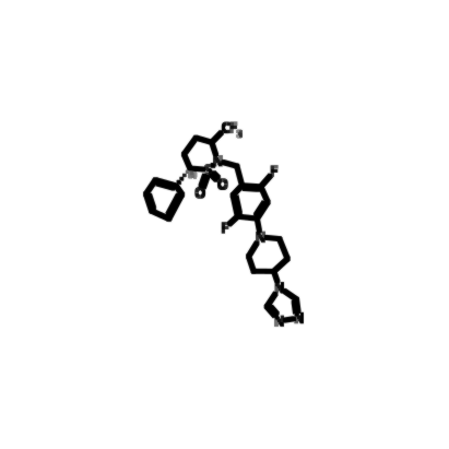 O=S1(=O)[C@H](c2ccccc2)CCC(C(F)(F)F)N1Cc1cc(F)c(N2CCC(n3cnnc3)CC2)cc1F